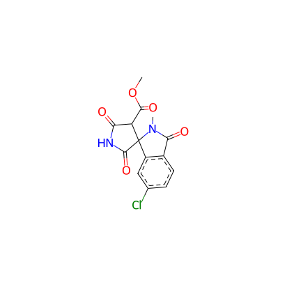 COC(=O)C1C(=O)NC(=O)C12c1cc(Cl)ccc1C(=O)N2C